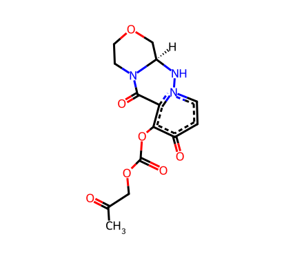 CC(=O)COC(=O)Oc1c2n(ccc1=O)N[C@@H]1COCCN1C2=O